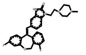 CN1CCN(CCn2c(=O)[nH]c3cc(/C=C4/c5ccc(F)cc5OCc5c(F)cccc54)ccc32)CC1